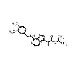 Cc1ccc(CNc2nccn3c(NC(=O)OC(C)C)nnc23)cc1C